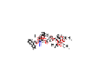 CCC(=O)OC1[C@@H](OC)OC(COC(=O)CCC(=O)OC[C@H](NC(=O)OCC2c3ccccc3-c3ccccc32)C(=O)OC(C)(C)C)[C@@H](C)[C@@H]1OC(=O)CC